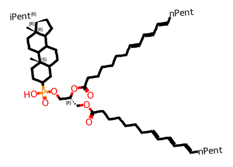 CCCCCC=CC=CC=CCCCCCCC(=O)OC[C@H](COP(=O)(O)C1CC[C@@]2(C)C(CCC3C2CC[C@@]2(C)C3CC[C@@H]2[C@H](C)CCC)C1)OC(=O)CCCCCCC=CC=CC=CCCCCC